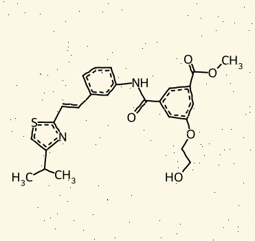 COC(=O)c1cc(OCCO)cc(C(=O)Nc2cccc(C=Cc3nc(C(C)C)cs3)c2)c1